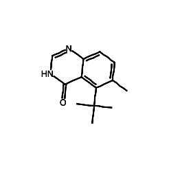 Cc1ccc2nc[nH]c(=O)c2c1C(C)(C)C